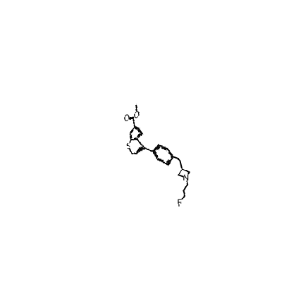 COC(=O)c1ccc2c(c1)SCC=C2c1ccc(CC2CN(CCCF)C2)cc1